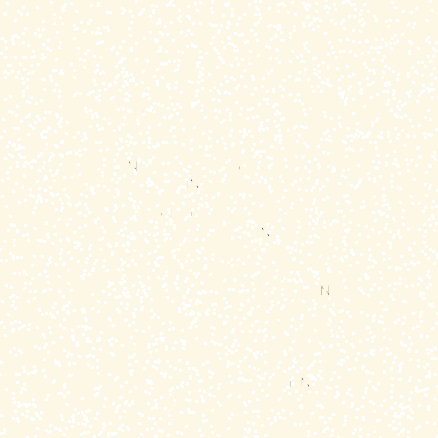 O=[C][C@@H]1CCCN1C(=O)[C@H](Cc1ccccc1)NC(=O)CNC(=O)[C@@H]1CCCN1C(=O)[C@@H]1CCCN1